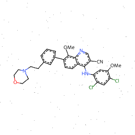 COc1cc(Nc2c(C#N)cnc3c(OC)c(-c4cccc(CCN5CCOCC5)c4)ccc23)c(Cl)cc1Cl